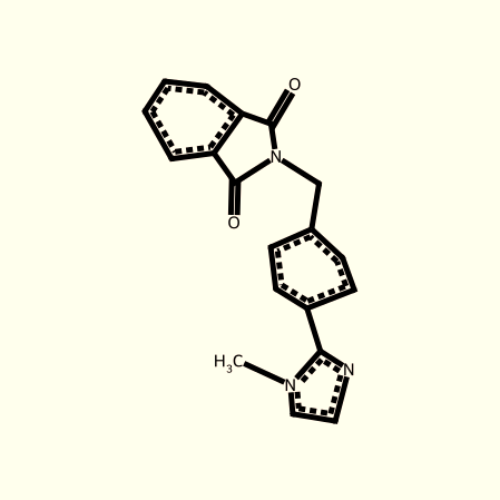 Cn1ccnc1-c1ccc(CN2C(=O)c3ccccc3C2=O)cc1